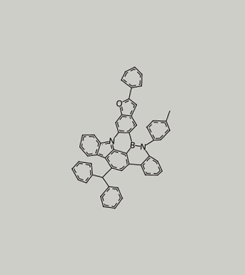 Cc1ccc(N2B3c4cc5cc(-c6ccccc6)oc5cc4-n4c5ccccc5c5c(C(c6ccccc6)c6ccccc6)cc(c3c54)-c3ccccc32)cc1